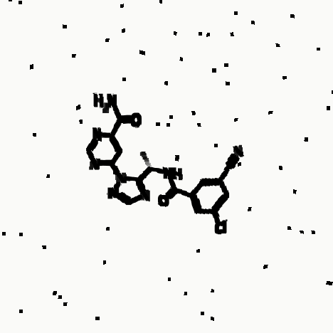 C[C@H](NC(=O)c1cc(Cl)cc(C#N)c1)c1ncnn1-c1cc(C(N)=O)ncn1